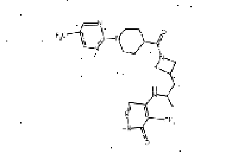 CC(CC1CN(C(=O)C2CCN(c3ncc(C(F)(F)F)cn3)CC2)C1)Nc1cn[nH]c(=O)c1C(F)(F)F